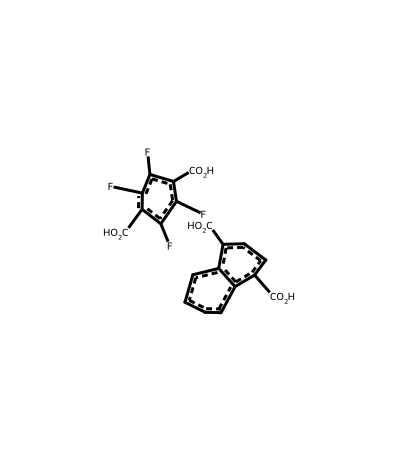 O=C(O)c1c(F)c(F)c(C(=O)O)c(F)c1F.O=C(O)c1ccc(C(=O)O)c2ccccc12